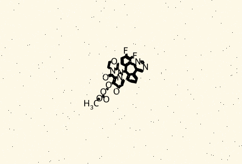 COC(=O)OCOc1c2n(ccc1=O)N(C1c3ccccc3-c3cncnc3-c3c1ccc(F)c3F)C1COCCN1C2=O